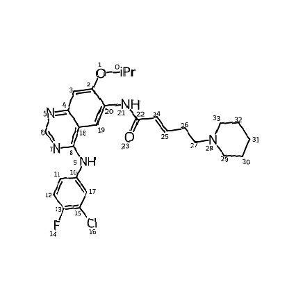 CC(C)Oc1cc2ncnc(Nc3ccc(F)c(Cl)c3)c2cc1NC(=O)C=CCCN1CCCCC1